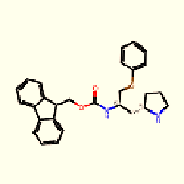 O=C(N[C@@H](CSc1ccccc1)C[C@@H]1CCCN1)OCC1c2ccccc2-c2ccccc21